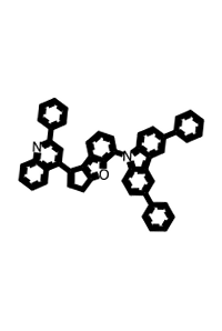 C1=C(c2cc(-c3ccccc3)nc3ccccc23)c2c(oc3c(-n4c5ccc(-c6ccccc6)cc5c5cc(-c6ccccc6)ccc54)cccc23)C1